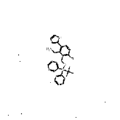 CC(C)(C)[Si](OCc1c(Cl)ccc(-c2ccc[nH]2)c1CN)(c1ccccc1)c1ccccc1